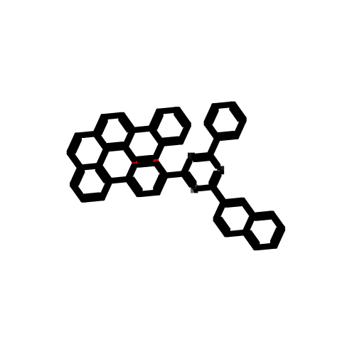 c1ccc(-c2nc(-c3ccc(-c4cccc5ccc6ccc7c8ccccc8ccc7c6c45)cc3)nc(-c3ccc4ccccc4c3)n2)cc1